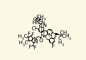 C[C@@H]1c2c(C(F)F)nn(CC(=O)N[C@@H](Cc3cc(F)cc(F)c3)c3nc(C#CC(C)(C)C)ccc3-c3ccc(Cl)n4c(NS(C)(=O)=O)nnc34)c2C(F)(F)[C@@H]1C